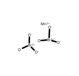 [Mn+2].[O-][Br+2]([O-])[O-].[O-][Br+2]([O-])[O-]